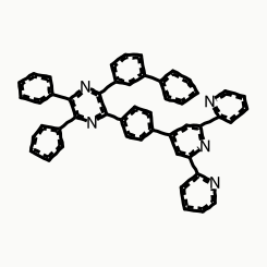 c1ccc(-c2cccc(-c3nc(-c4ccccc4)c(-c4ccccc4)nc3-c3ccc(-c4cc(-c5ccccn5)nc(-c5ccccn5)c4)cc3)c2)cc1